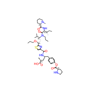 CCCO[C@H](C[C@H](C(C)C)N(CCC)C(=O)[C@@H](NC(=O)[C@H]1CCCCN1C)[C@@H](C)CC)c1nc(C(=O)NC(Cc2ccc(OC(=O)[C@H]3CCCN3)cc2)C[C@H](C)C(=O)O)cs1